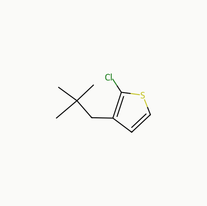 CC(C)(C)Cc1ccsc1Cl